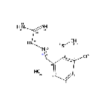 CSc1c(Cl)cccc1/C=N/NC(=N)N.Cl